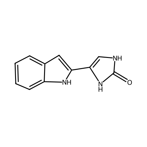 O=c1[nH]cc(-c2cc3ccccc3[nH]2)[nH]1